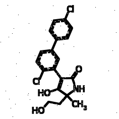 CC1(CCO)NC(=O)C(c2cc(-c3ccc(Cl)cc3)ccc2Cl)=C1O